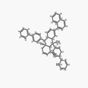 CC1C=CC[C@@H]2C(c3ccc(-c4ccccn4)cc3)C3C=CC(c4cccc5ccccc45)=CC3C(C)(C3=CCC(C4C=CC=CN4)C=C3)C12